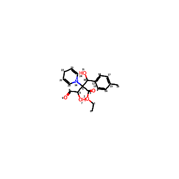 CCOC(=O)C(C(O)C=O)(C(O)c1ccc(C)cc1)N1C=CCC=C1